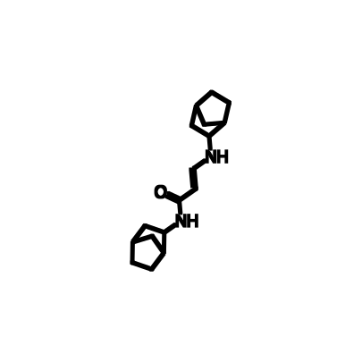 O=C(C=CNC1CC2CCC1C2)NC1CC2CCC1C2